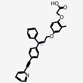 Cc1cc(OC/C=C(\c2ccccc2)c2ccc(C#Cc3ccccn3)cc2)ccc1OCC(=O)O